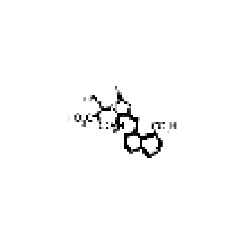 CCCC(C(C(=O)O)C(=O)O)N1C(=O)C(=Cc2cccc3cccc(C(=O)O)c23)SC1=S